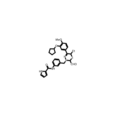 CCC1SC(C=O)N(Cc2cccc(NC(=O)c3ccc[nH]3)c2)N=C1c1ccc(OC)c(OC2CCCC2)c1